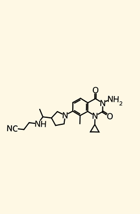 Cc1c(N2CCC(C(C)NCCC#N)C2)ccc2c(=O)n(N)c(=O)n(C3CC3)c12